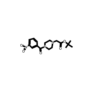 CC(C)(C)OC(=O)CN1CCN(C(=O)c2cccc([N+](=O)[O-])c2)CC1